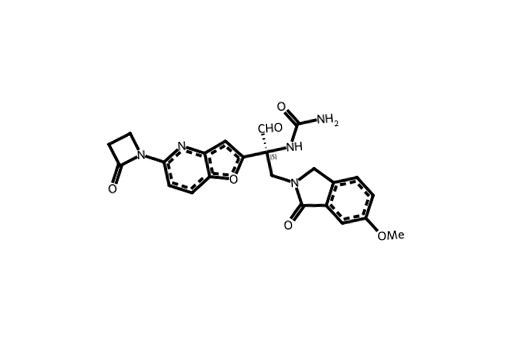 COc1ccc2c(c1)C(=O)N(C[C@](C=O)(NC(N)=O)c1cc3nc(N4CCC4=O)ccc3o1)C2